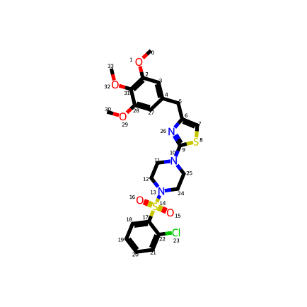 COc1cc(Cc2csc(N3CCN(S(=O)(=O)c4ccccc4Cl)CC3)n2)cc(OC)c1OC